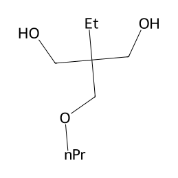 [CH2]CCOCC(CC)(CO)CO